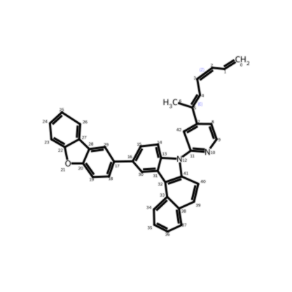 C=C/C=C\C=C(/C)c1ccnc(-n2c3ccc(-c4ccc5oc6ccccc6c5c4)cc3c3c4ccccc4ccc32)c1